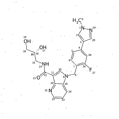 Cn1cc(-c2ccc(Cn3cc(C(=O)NC[C@@H](O)CO)c4ncccc43)c(F)c2)cn1